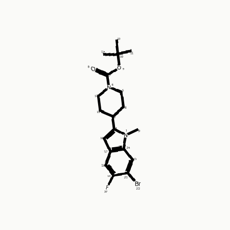 Cn1c(C2CCN(C(=O)OC(C)(C)C)CC2)cc2cc(F)c(Br)cc21